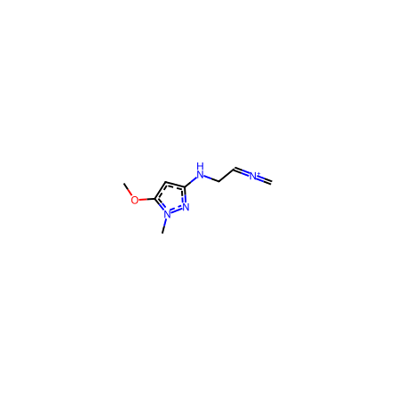 C=[N+]=CCNc1cc(OC)n(C)n1